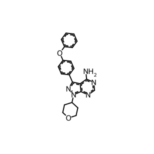 Nc1ncnc2c1c(-c1ccc(Oc3ccccc3)cc1)nn2C1CCOCC1